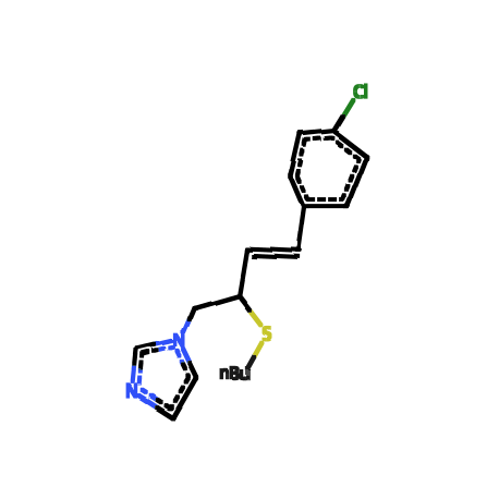 CCCCSC(/C=C/c1ccc(Cl)cc1)Cn1ccnc1